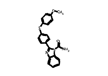 COc1ccc(Sc2ccc(-c3nc4ccccc4n3C(N)=O)cc2)cc1